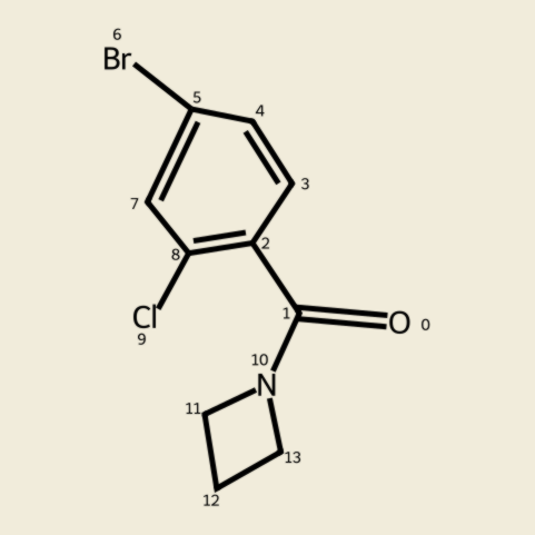 O=C(c1ccc(Br)cc1Cl)N1CCC1